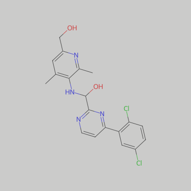 Cc1cc(CO)nc(C)c1NC(O)c1nccc(-c2cc(Cl)ccc2Cl)n1